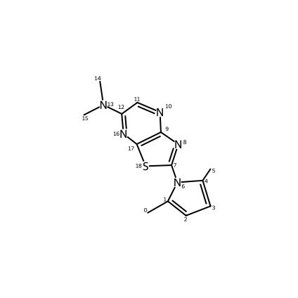 Cc1ccc(C)n1-c1nc2ncc(N(C)C)nc2s1